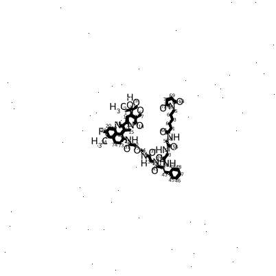 CCC1(O)C(=O)OCc2c1cc1n(c2=O)Cc2c-1nc1cc(F)c(C)c3c1c2[C@@H](NC(=O)COCNC(=O)CNC(=O)[C@H](Cc1ccccc1)NC(=O)CNC(=O)CNC(=O)CCCCCN1C(=O)C=CC1=O)CC3